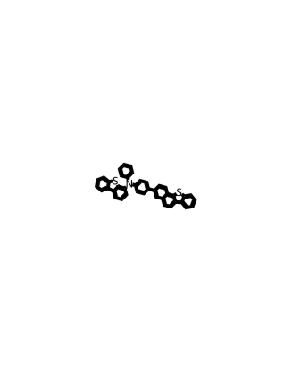 c1ccc(N(c2ccc(-c3ccc4c(ccc5c6ccccc6sc45)c3)cc2)c2cccc3c2sc2ccccc23)cc1